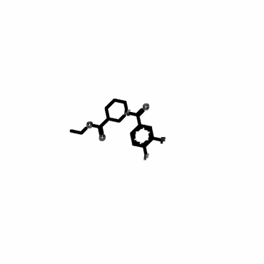 CCOC(=O)C1CCCN(C(=O)c2ccc(F)c(F)c2)C1